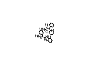 CN1CCCCC1C(NC(=O)Nc1ccc2[nH]nc(-c3nc4ccccc4[nH]3)c2c1)c1ccccc1